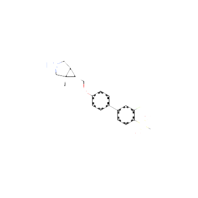 C[C@@]12CNCC1[C@H]2COc1ccc(-c2ccc(S(C)(=O)=O)c(F)c2)cc1